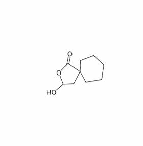 O=C1OC(O)CC12CCCCC2